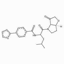 CC(C)CC(NC(=O)c1ccc(-c2cccs2)cc1)C(=O)N1CC[C@@H]2OCC(=O)C21